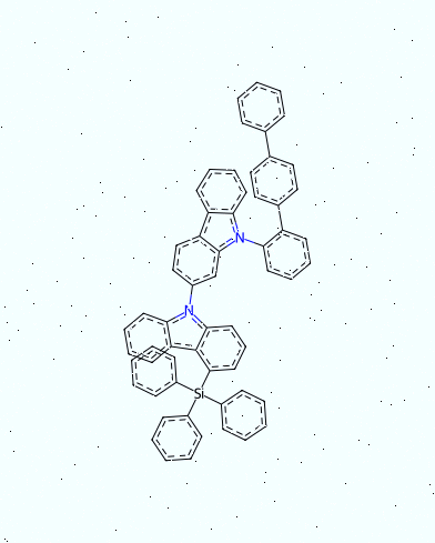 c1ccc(-c2ccc(-c3ccccc3-n3c4ccccc4c4ccc(-n5c6ccccc6c6c([Si](c7ccccc7)(c7ccccc7)c7ccccc7)cccc65)cc43)cc2)cc1